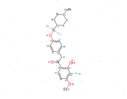 CCCC1CCC(C(F)(F)Oc2ccc(CC(=O)c3ccc(OCC)c(F)c3O)cc2)CC1